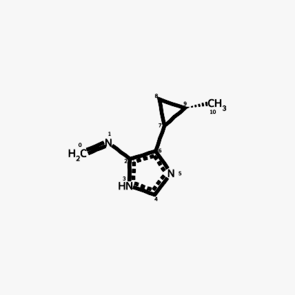 C=Nc1[nH]cnc1C1C[C@@H]1C